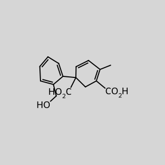 CC1=C(C(=O)O)CC(C(=O)O)(c2ccccc2CO)C=C1